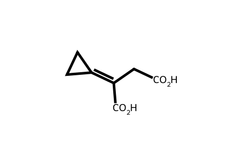 O=C(O)CC(C(=O)O)=C1CC1